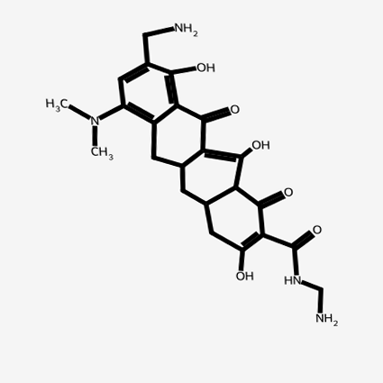 CN(C)c1cc(CN)c(O)c2c1CC1CC3CC(O)=C(C(=O)NCN)C(=O)C3C(O)=C1C2=O